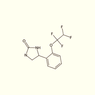 O=C1[N]CC(c2ccccc2OC(F)(F)C(F)F)N1